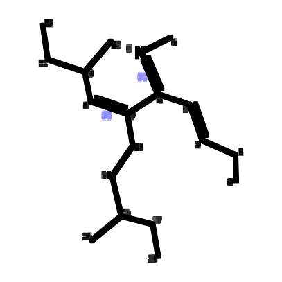 CCC=CC(=N\C)/C(=C\C(C)CC)CCC(C)CC